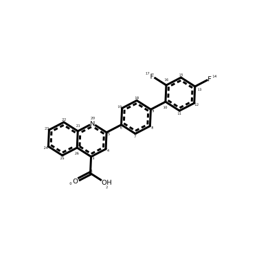 O=C(O)c1cc(-c2ccc(-c3ccc(F)cc3F)cc2)nc2ccccc12